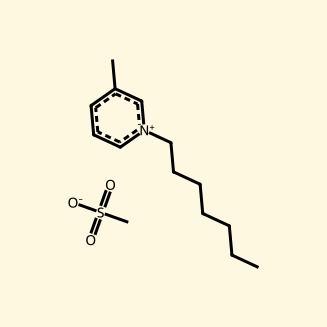 CCCCCCC[n+]1cccc(C)c1.CS(=O)(=O)[O-]